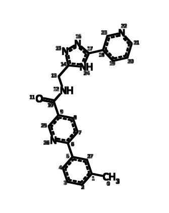 Cc1cccc(-c2ccc(C(=O)NCc3nnc(-c4cccnc4)[nH]3)cn2)c1